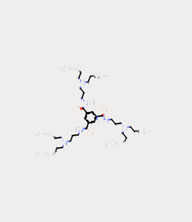 CCCCCCCCCCCCN(CCCCCCCCCCCC)CCCNC(=O)c1cc(C(=O)NCCCN(CCCCCCCCCCCC)CCCCCCCCCCCC)cc(C(=O)NCCCN(CCCCCCCCCCCC)CCCCCCCCCCCC)c1